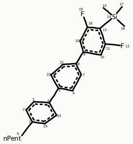 CCCCCc1ccc(-c2ccc(-c3cc(F)c([Si](C)(C)C)c(F)c3)cc2)cc1